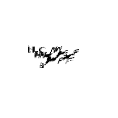 CNc1nnc(SC(F)(F)F)cc1Br